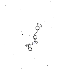 Cc1[nH]c2ccccc2c1/C=C/C(=O)N1CCN(CCc2ccc3c(c2)OCO3)CC1